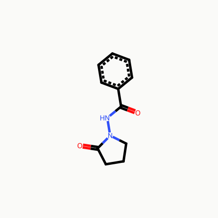 O=C(NN1CCCC1=O)c1ccccc1